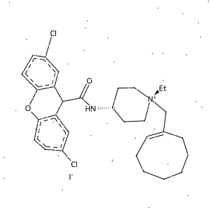 CC[N@+]1(C/C2=C/CCCCCC2)CC[C@@H](NC(=O)C2c3cc(Cl)ccc3Oc3ccc(Cl)cc32)CC1.[I-]